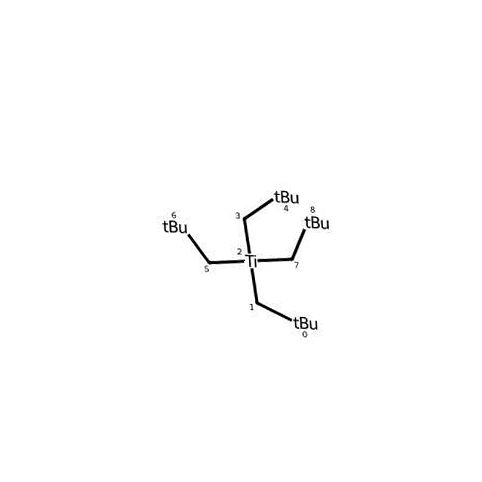 CC(C)(C)[CH2][Ti]([CH2]C(C)(C)C)([CH2]C(C)(C)C)[CH2]C(C)(C)C